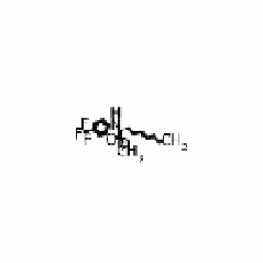 C=CCCCCC[C@H](Nc1ccc(C(F)(F)F)cc1)C(=O)OC